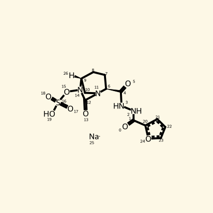 O=C(NNC(=O)[C@@H]1CC[C@@H]2CN1C(=O)N2OS(=O)(=O)O)c1ccco1.[Na]